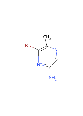 Cc1ncc(N)nc1Br